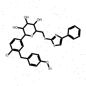 CCOc1ccc(Cc2cc(C3OC(CSc4nc(-c5ccccc5)cs4)C(O)C(O)C3O)ccc2Cl)cc1